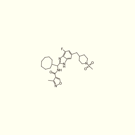 Cc1nocc1C(=O)NC(c1nc2c(F)cc(CC3CCN(S(C)(=O)=O)CC3)cc2[nH]1)C1CCCCCCC1